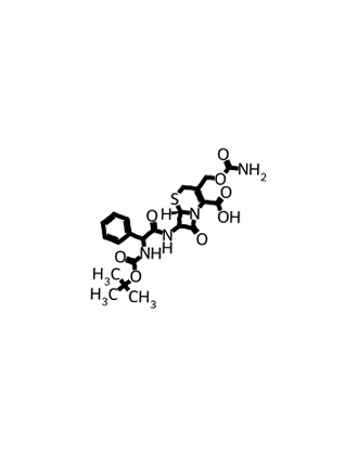 CC(C)(C)OC(=O)NC(C(=O)NC1C(=O)N2C(C(=O)O)=C(COC(N)=O)CS[C@@H]12)c1ccccc1